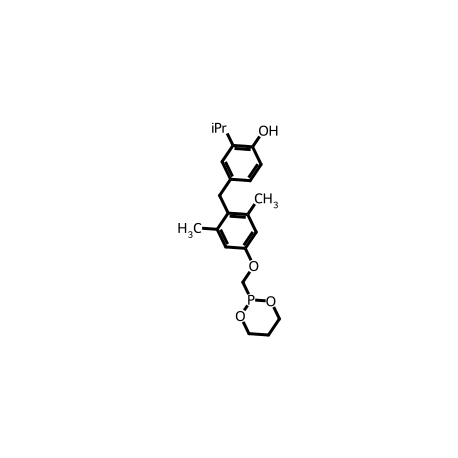 Cc1cc(OCP2OCCCO2)cc(C)c1Cc1ccc(O)c(C(C)C)c1